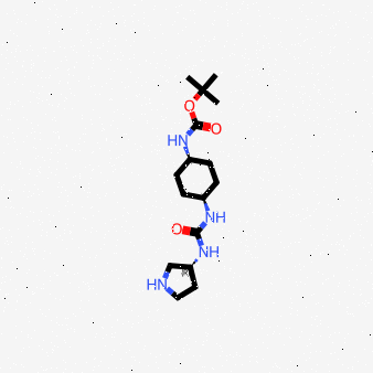 CC(C)(C)OC(=O)N[C@H]1CC[C@@H](NC(=O)N[C@@H]2CCNC2)CC1